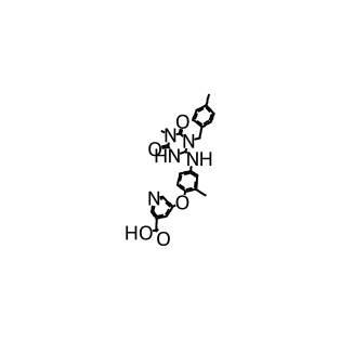 Cc1ccc(CN2C(=O)N(C)C(=O)NC2Nc2ccc(Oc3cncc(C(=O)O)c3)c(C)c2)cc1